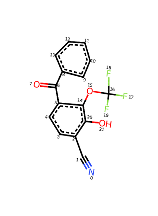 N#Cc1ccc(C(=O)c2ccccc2)c(OC(F)(F)F)c1O